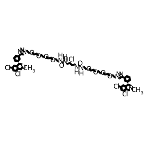 CN1Cc2c(Cl)cc(Cl)cc2[C@H](c2cccc(-c3cn(CCOCCOCCOCCOCCNC(=O)NCCCCNC(=O)NCCOCCOCCOCCOCCn4cc(-c5cccc([C@@H]6CN(C)Cc7c(Cl)cc(Cl)cc76)c5)nn4)nn3)c2)C1.Cl